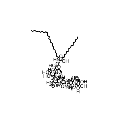 CCCCCCCC/C=C\CCCCCCCCCCCCCC(=O)N[C@@H](CO[C@@H]1OC(CO)[C@@H](O[C@@H]2OC(CO)[C@H](O)[C@H](O[C@@H]3OC(CO)[C@@H](O[C@@H]4OC(CO)[C@H](O)[C@H](O[C@@H]5OC(CO)[C@@H](O)[C@H](O[C@@H]6OC(CO)[C@H](O)[C@H](O)C6O)C5NC(C)=O)C4O)[C@H](O)C3NC(C)=O)C2O)[C@H](O)C1O)[C@H](O)/C=C/CCCCCCCCCCCCC